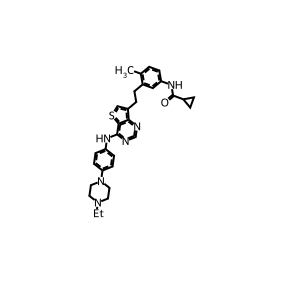 CCN1CCN(c2ccc(Nc3ncnc4c(CCc5cc(NC(=O)C6CC6)ccc5C)csc34)cc2)CC1